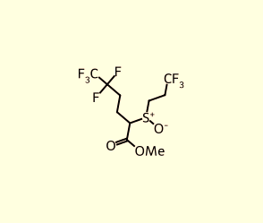 COC(=O)C(CCC(F)(F)C(F)(F)F)[S+]([O-])CCC(F)(F)F